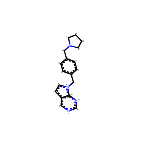 c1ncc2ccn(Cc3ccc(CN4CCCC4)cc3)c2n1